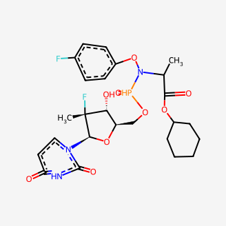 CC(C(=O)OC1CCCCC1)N(Oc1ccc(F)cc1)[PH](=O)OC[C@H]1O[C@@H](n2ccc(=O)[nH]c2=O)[C@](C)(F)[C@@H]1O